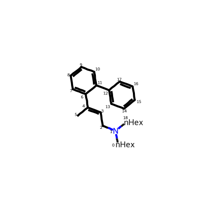 CCCCCCN(CC=C(C)c1ccccc1-c1ccccc1)CCCCCC